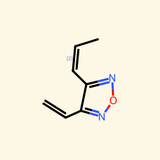 C=Cc1nonc1/C=C\C